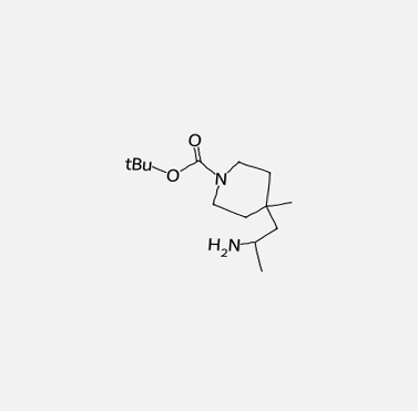 CC(N)CC1(C)CCN(C(=O)OC(C)(C)C)CC1